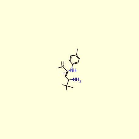 CB/C(=C/C(N)C(C)(C)C)Nc1ccc(C)cc1